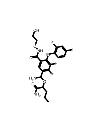 CCCC(OC(N)c1cc(C(=O)NOCCO)c(Nc2ccc(I)cc2F)c(F)c1F)C(N)=O